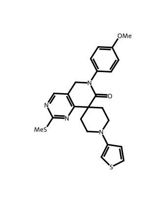 COc1ccc(N2Cc3cnc(SC)nc3C3(CCN(c4ccsc4)CC3)C2=O)cc1